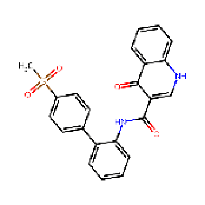 CS(=O)(=O)c1ccc(-c2ccccc2NC(=O)c2c[nH]c3ccccc3c2=O)cc1